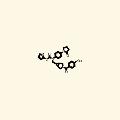 CC(C)(C)c1ccc(C(=O)N2CC3C(C2)C3CN(C(=O)Oc2cccs2)c2ccc(N3CCCC3=O)cc2)cc1